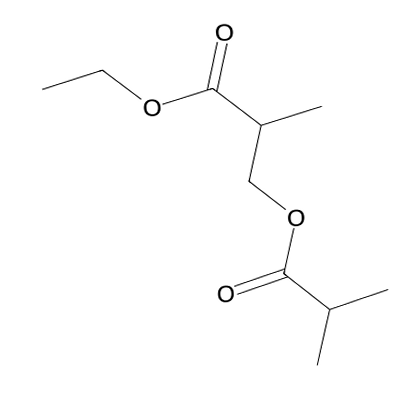 CCOC(=O)C(C)COC(=O)C(C)C